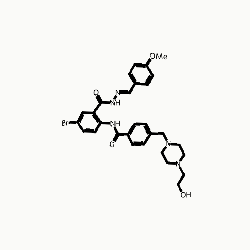 COc1ccc(C=NNC(=O)c2cc(Br)ccc2NC(=O)c2ccc(CN3CCN(CCO)CC3)cc2)cc1